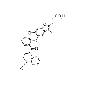 Cc1c(CCC(=O)O)oc2cc(Cl)c(Oc3ccncc3C(=O)N3CCN(C4CC4)c4ccccc43)cc12